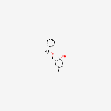 CC1=CC(CO[SiH2]c2ccccc2)C(C)(O)C=C1